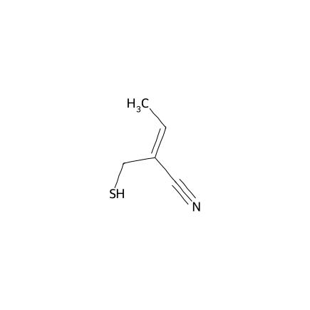 C/C=C(/C#N)CS